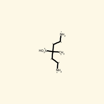 CC(CCN)(CCN)S(=O)(=O)O